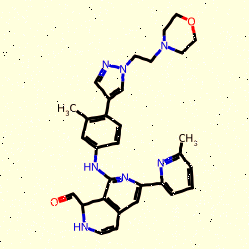 Cc1cccc(-c2cc3c(c(Nc4ccc(-c5cnn(CCN6CCOCC6)c5)c(C)c4)n2)C(C=O)NC=C3)n1